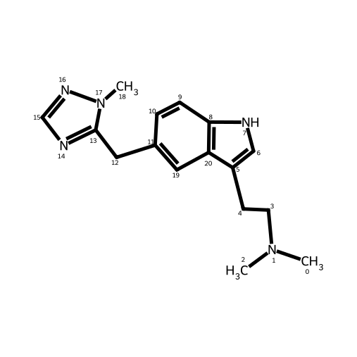 CN(C)CCc1c[nH]c2ccc(Cc3ncnn3C)cc12